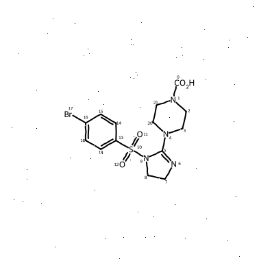 O=C(O)N1CCN(C2=NCCN2S(=O)(=O)c2ccc(Br)cc2)CC1